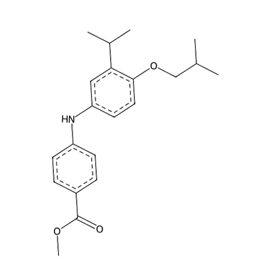 COC(=O)c1ccc(Nc2ccc(OCC(C)C)c(C(C)C)c2)cc1